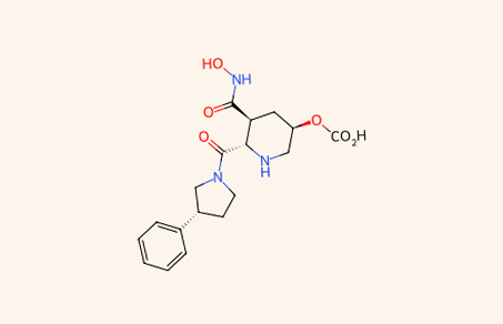 O=C(O)O[C@H]1CN[C@H](C(=O)N2CC[C@H](c3ccccc3)C2)[C@@H](C(=O)NO)C1